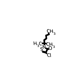 CCCCCC(C)(C)n1scc(Cl)c1=O